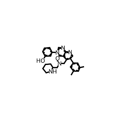 Cc1cc(C)cc(-c2cnc3ncn(-c4cccc(O)c4)c(=O)c3c2CN(C)CC2CCCCN2)c1